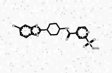 CC(=O)NS(=O)(=O)c1cc(C(=O)NC2CCC(c3nc4cc(Cl)ccc4o3)CC2)ccn1